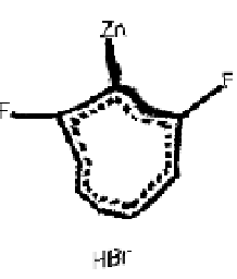 Br.Fc1cccc(F)[c]1[Zn]